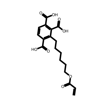 C=CC(=O)OCCCCCCc1c(C(=O)O)ccc(C(=O)O)c1C(=O)O